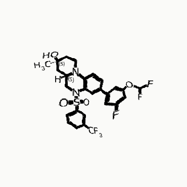 C[C@]1(O)CCN2c3ccc(-c4cc(F)cc(OC(F)F)c4)cc3N(S(=O)(=O)c3cccc(C(F)(F)F)c3)C[C@@H]2C1